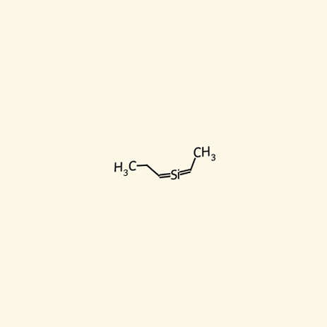 CC=[Si]=CCC